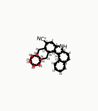 N#Cc1cc2[nH]c3ccc4ccccc4c3c2c2c1C1c3ccccc3C2c2ccccc21